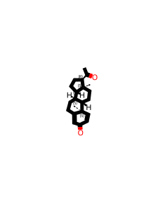 CC(=O)[C@@H]1CC[C@H]2[C@@H]3CCC4=CC(=O)C=C[C@]4(C)[C@H]3CC[C@]12C